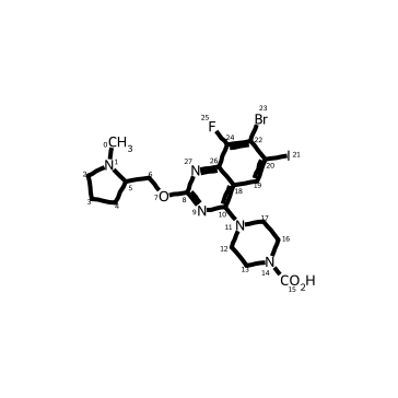 CN1CCCC1COc1nc(N2CCN(C(=O)O)CC2)c2cc(I)c(Br)c(F)c2n1